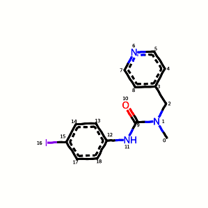 CN(Cc1ccncc1)C(=O)Nc1ccc(I)cc1